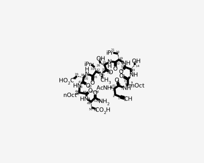 C#CC[C@H](NC(C)=O)C(=O)N[C@@H](CCCCCCCC)C(=O)N[C@@H](CO)C(=O)N[C@@H](CC(C)C)C(=O)N[C@@H](CO)C(=O)N(C)[C@@H](CC(C)C)C(=O)N[C@@H](CC(=O)O)C(=O)N[C@@H](CCCCCCCC)C(=O)N[C@@H](CC(=O)O)C(N)=O